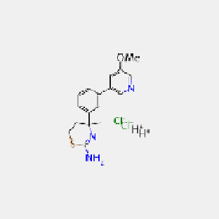 COc1cncc(-c2cccc(C3(C)CCSC(N)=N3)c2)c1.[Cl-].[Cl-].[H+].[H+]